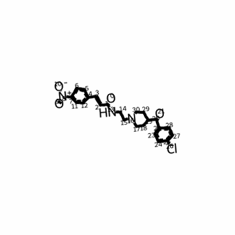 O=C(C=Cc1ccc([N+](=O)[O-])cc1)NCCN1CCC(C(=O)c2ccc(Cl)cc2)CC1